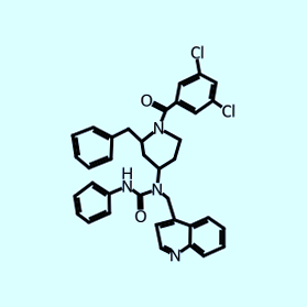 O=C(Nc1ccccc1)N(Cc1ccnc2ccccc12)C1CCN(C(=O)c2cc(Cl)cc(Cl)c2)C(Cc2ccccc2)C1